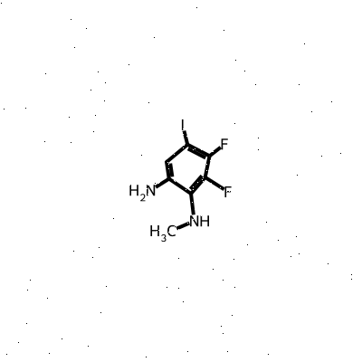 CNc1c(N)cc(I)c(F)c1F